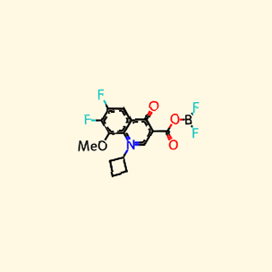 COc1c(F)c(F)cc2c(=O)c(C(=O)OB(F)F)cn(C3CCC3)c12